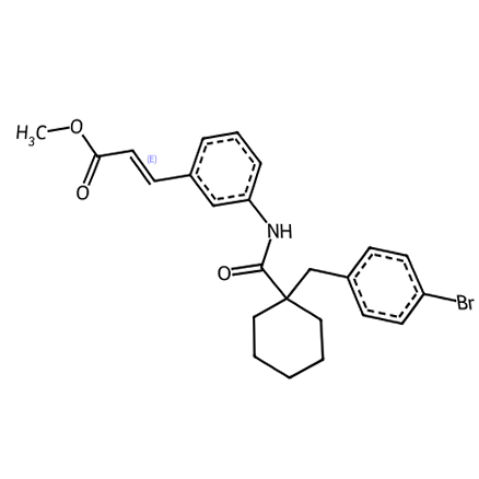 COC(=O)/C=C/c1cccc(NC(=O)C2(Cc3ccc(Br)cc3)CCCCC2)c1